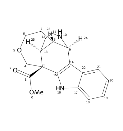 COC(=O)[C@@]12COCC[C@@H]3[C@@H](NCC[C@@H]31)c1c2[nH]c2ccccc12